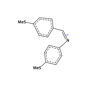 CSc1ccc(/C=N\c2ccc(SC)cc2)cc1